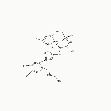 CCCC(N[C@@]1(N)CCc2cc(F)cc(F)c2C1)C(=O)Nc1cn(-c2cc(F)c(F)cc2CNCC(C)(C)C)cn1